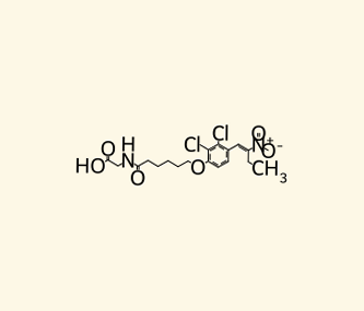 CC/C(=C\c1ccc(OCCCCCC(=O)NCC(=O)O)c(Cl)c1Cl)[N+](=O)[O-]